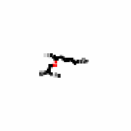 C=C(CCCCCCCCCCCCC)OCC(CC)CCCC